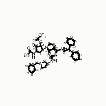 CCC(=O)N[C@H]1C[C@@H](n2cnc3c(NCC(c4ccccc4)c4ccccc4)nc(N[C@@H]4CCN(Cc5ccccc5)C4)nc32)[C@H](OC(=O)C(F)(F)F)[C@@H]1O